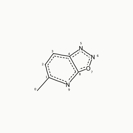 Cc1ccc2nnoc2n1